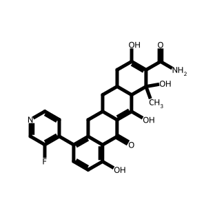 CC1(O)C(C(N)=O)=C(O)CC2CC3Cc4c(-c5ccncc5F)ccc(O)c4C(=O)C3=C(O)C21